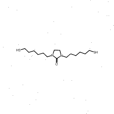 O=C1N(CCCCCCS)CCN1CCCCCCS